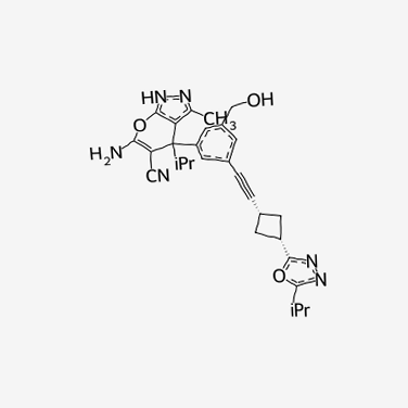 Cc1n[nH]c2c1C(c1cc(C#C[C@H]3C[C@@H](c4nnc(C(C)C)o4)C3)cc(CO)c1)(C(C)C)C(C#N)=C(N)O2